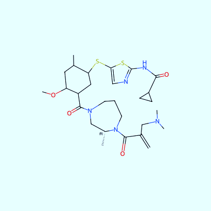 C=C(CN(C)C)C(=O)N1CCCN(C(=O)C2CC(Sc3cnc(NC(=O)C4CC4)s3)C(C)CC2OC)C[C@H]1C